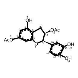 CC(=O)Oc1cc(O)c2c(c1)O[C@H](c1ccc(O)c(O)c1)[C@H](OC(C)=O)C2